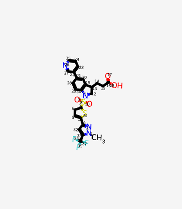 Cn1nc(C2=CCC(S(=O)(=O)N3CC(CCC(=O)O)c4cc(-c5cccnc5)ccc43)S2)cc1C(F)(F)F